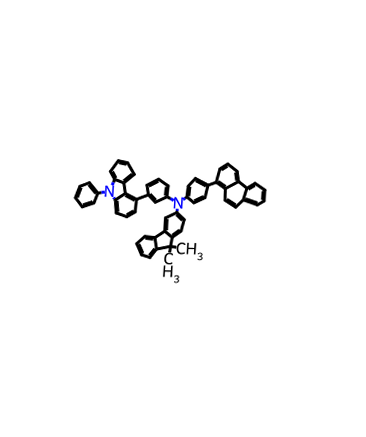 CC1(C)c2ccccc2-c2cc(N(c3ccc(-c4cccc5c4ccc4ccccc45)cc3)c3cccc(-c4cccc5c4c4ccccc4n5-c4ccccc4)c3)ccc21